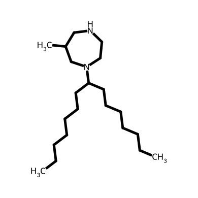 CCCCCCCC(CCCCCCC)N1CCNCC(C)C1